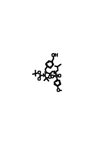 COc1ccc(S(=O)(=O)N(CC(C)C)C[C@H]2OC(C)(C)N(C(=O)OC(C)(C)C)[C@H]2Cc2ccc(CO)cc2)cc1